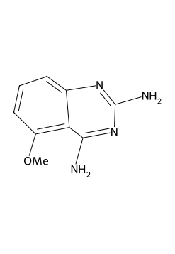 COc1cccc2nc(N)nc(N)c12